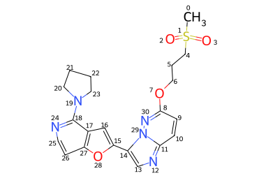 CS(=O)(=O)CCCOc1ccc2ncc(-c3cc4c(N5CCCC5)nccc4o3)n2n1